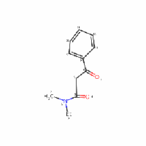 CCN(C)C(=O)CC(=O)c1ccccc1